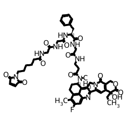 CC[C@@]1(O)C(=O)OCc2c1cc1n(c2=O)Cc2c-1nc1cc(F)c(C)c3c1c2[C@@H](N(C)C(=O)CCNC(=O)CNC(=O)[C@H](Cc1ccccc1)NC(=O)CNC(=O)CNC(=O)CCCCCN1C(=O)C=CC1=O)CC3